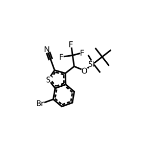 CC(C)(C)[Si](C)(C)OC(c1c(C#N)sc2c(Br)cccc12)C(F)(F)F